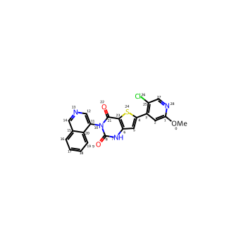 COc1cc(-c2cc3[nH]c(=O)n(-c4cncc5ccccc45)c(=O)c3s2)c(Cl)cn1